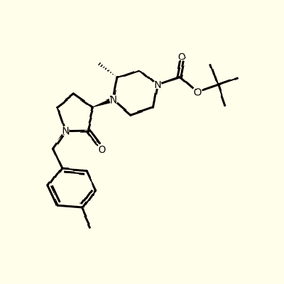 Cc1ccc(CN2CC[C@@H](N3CCN(C(=O)OC(C)(C)C)C[C@H]3C)C2=O)cc1